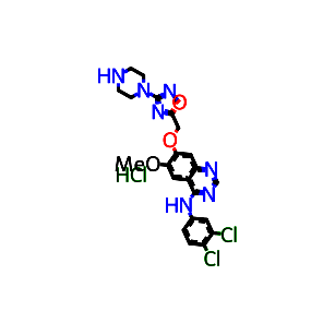 COc1cc2c(Nc3ccc(Cl)c(Cl)c3)ncnc2cc1OCc1nc(N2CCNCC2)no1.Cl